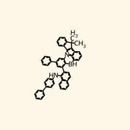 CC1(C)c2ccccc2-c2c1c1cccc3c1n2-c1cc(-c2ccccc2)cc(-c2ccc4ccccc4c2Nc2ccc(-c4ccccc4)cc2)c1B3